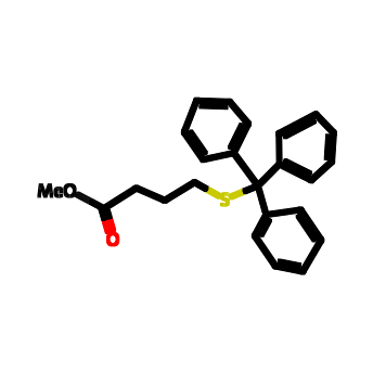 COC(=O)CCCSC(c1ccccc1)(c1ccccc1)c1ccccc1